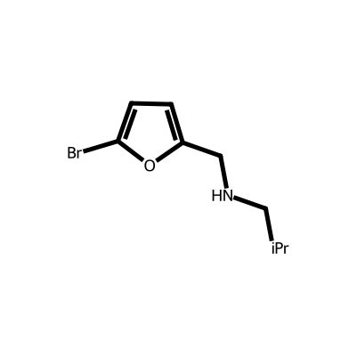 CC(C)CNCc1ccc(Br)o1